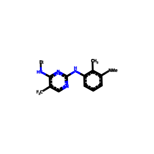 CCNc1nc(Nc2cccc(NC)c2C)ncc1C(F)(F)F